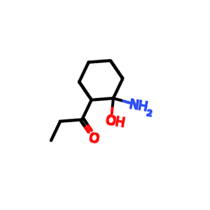 CCC(=O)C1CCCCC1(N)O